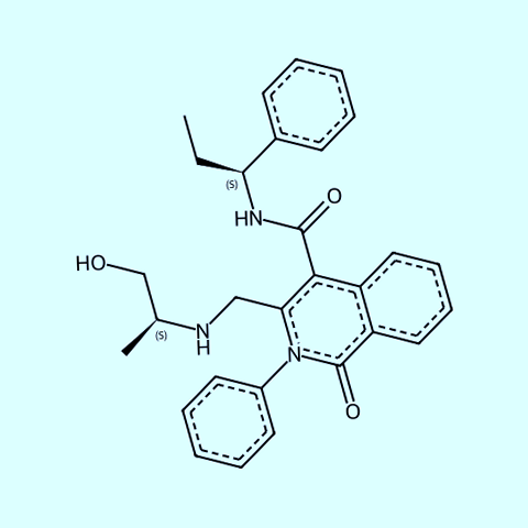 CC[C@H](NC(=O)c1c(CN[C@@H](C)CO)n(-c2ccccc2)c(=O)c2ccccc12)c1ccccc1